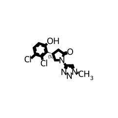 Cn1cc(N2C[C@H](c3c(O)ccc(Cl)c3Cl)CC2=O)nn1